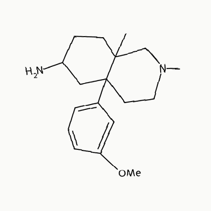 COc1cccc(C23CCN(C)CC2(C)CCC(N)C3)c1